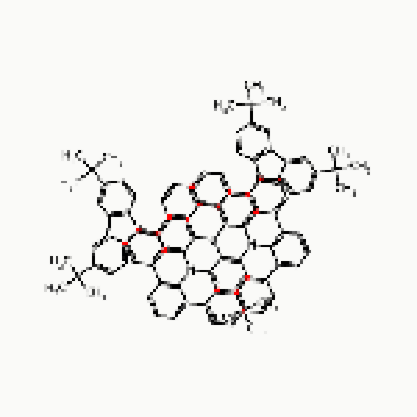 CC(C)(C)c1ccc2c(c1)c1cc(C(C)(C)C)ccc1n2-c1cc(-c2ccccc2)c2c(c1)N(c1c(-c3ccccc3)cccc1-c1ccccc1)c1cc(C(C)(C)C)nc3c1B2c1c(-c2ccccc2)cc(-n2c4ccc(C(C)(C)C)cc4c4cc(C(C)(C)C)ccc42)cc1N3c1c(-c2ccccc2)cccc1-c1ccccc1